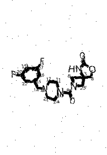 O=C1NC2(CO1)CN(C(=O)N1CCN(Cc3cc(F)cc(F)c3)CC1)C2